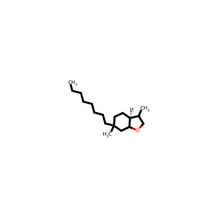 CCCCCCCCC1(C)CC[C@H]2C(C)COC2C1